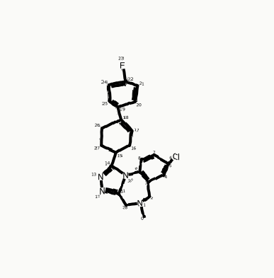 CN1Cc2cc(Cl)ccc2-n2c(nnc2C2CC=C(c3ccc(F)cc3)CC2)C1